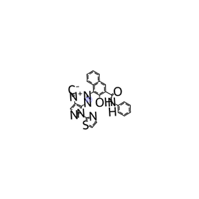 [C-]#[N+]c1cnn(-c2nccs2)c1/N=N/c1c(O)c(C(=O)Nc2ccccc2)cc2ccccc12